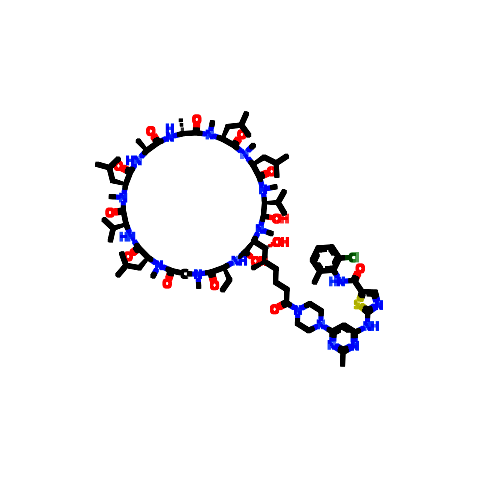 CC[C@@H]1NC(O)[C@H]([C@H](O)[C@H](C)CCCC(=O)N2CCN(c3cc(Nc4ncc(C(=O)Nc5c(C)cccc5Cl)s4)nc(C)n3)CC2)N(C)C(O)[C@H](C(C)C)N(C)C(=O)[C@H](CC(C)C)N(C)C(=O)[C@H](CC(C)C)N(C)C(=O)[C@@H](C)NC(=O)[C@H](C)NC(=O)[C@H](CC(C)C)N(C)C(=O)[C@H](C(C)C)NC(=O)[C@H](CC(C)C)N(C)C(=O)CN(C)C1=O